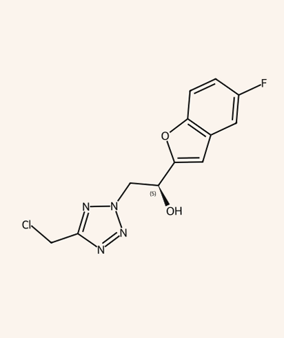 O[C@@H](Cn1nnc(CCl)n1)c1cc2cc(F)ccc2o1